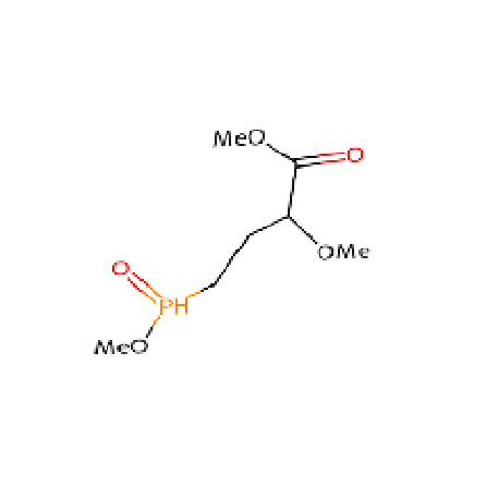 COC(=O)C(CC[PH](=O)OC)OC